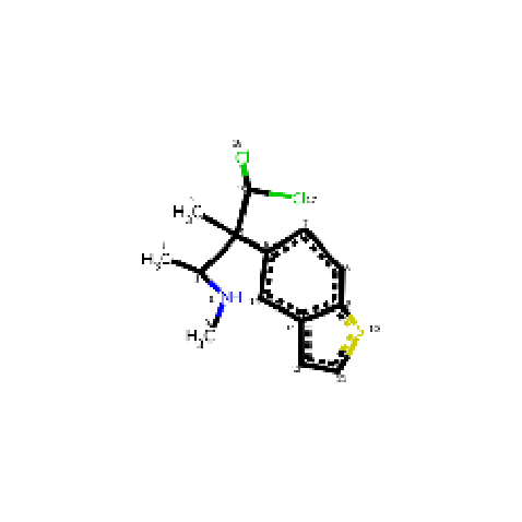 CNC(C)C(C)(c1ccc2sccc2c1)C(Cl)Cl